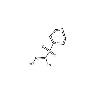 N#CC(=NO)S(=O)(=O)c1ccccc1